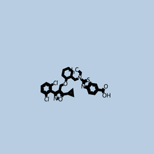 CCN(CC1CCCCC1OCc1c(-c2c(Cl)cccc2Cl)noc1C1CC1)c1nc2ccc(C(=O)O)cc2s1